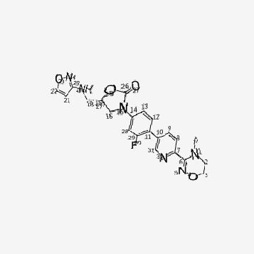 CN1CCON=C1c1ccc(-c2ccc(N3C[C@H](CNc4ccon4)OC3=O)cc2F)cn1